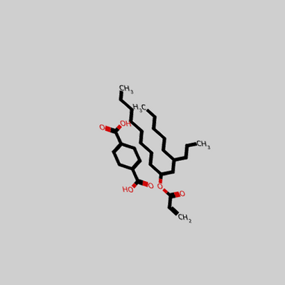 C=CC(=O)OC(CCCCCCCC)CC(CCC)CCCCC.O=C(O)C1CCC(C(=O)O)CC1